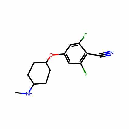 CNC1CCC(Oc2cc(F)c(C#N)c(F)c2)CC1